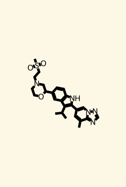 Cc1cc(-c2[nH]c3ccc(C4CN(CCS(C)(=O)=O)CCO4)cc3c2C(C)C)cn2ncnc12